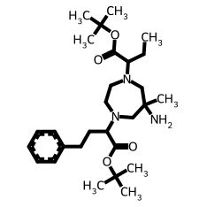 CCC(C(=O)OC(C)(C)C)N1CCN(C(CCc2ccccc2)C(=O)OC(C)(C)C)CC(C)(N)C1